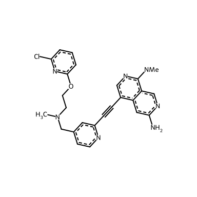 CNc1ncc(C#Cc2cc(CN(C)CCOc3cccc(Cl)n3)ccn2)c2cc(N)ncc12